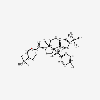 CC(C)(O)C12CCC(C(=O)N3CC[C@@]4(S(=O)(=O)c5ccc(F)cc5)c5ccc(C(F)(C(F)(F)F)C(F)(F)F)cc5CC[C@@H]34)(CC1)CC2